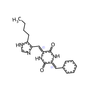 CCCCc1[nH]cnc1/C=c1\[nH]c(=O)/c(=C/c2ccccc2)[nH]c1=O